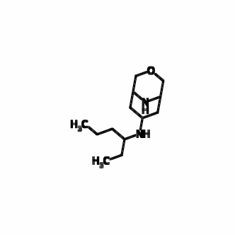 CCCC(CC)NC1CC2COCC(C1)N2